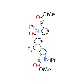 COC(=O)/C=C/c1cc(-c2ccc(C(=O)N(c3ccccc3/C=C/C(=O)OC)C(C)C)cc2C(F)(F)F)ccc1NC(C)C